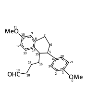 COc1ccc(C2CCc3cc(OC)ccc3C2CCCC=O)cc1